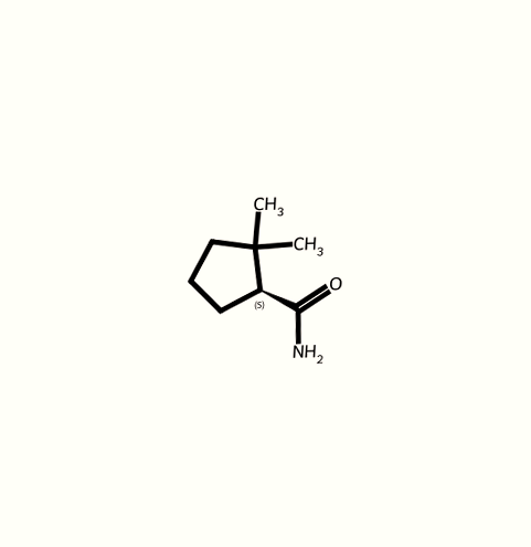 CC1(C)CCC[C@@H]1C(N)=O